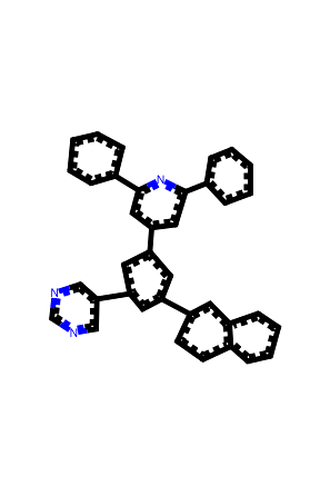 c1ccc(-c2cc(-c3cc(-c4cncnc4)cc(-c4ccc5ccccc5c4)c3)cc(-c3ccccc3)n2)cc1